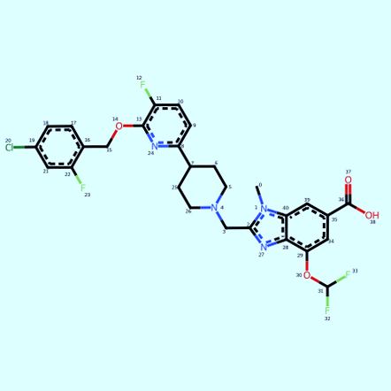 Cn1c(CN2CCC(c3ccc(F)c(OCc4ccc(Cl)cc4F)n3)CC2)nc2c(OC(F)F)cc(C(=O)O)cc21